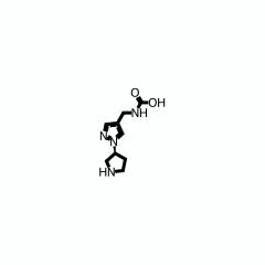 O=C(O)NCc1cnn([C@H]2CCNC2)c1